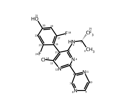 C[C@H](Nc1nc(-c2cnccn2)nc(Cl)c1-c1c(F)cc(O)cc1F)C(F)(F)F